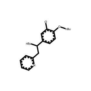 CCCCOc1ccc(C(CCCC)Cc2ccccn2)cc1Cl